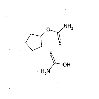 NC(=S)OC1CCCC1.NC(O)=S